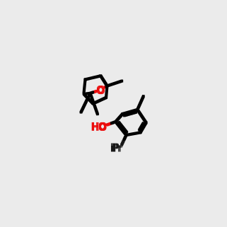 CC12CCC(CC1)C(C)(C)O2.Cc1ccc(C(C)C)c(O)c1